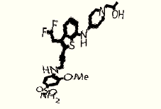 COc1cc(S(N)(=O)=O)ccc1NCC#Cc1sc2c(NC3CCN(CC(C)O)CC3)cccc2c1CC(F)F